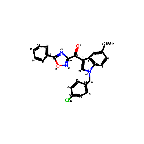 COc1ccc2c(c1)c(C(=O)c1noc(-c3ccccc3)n1)cn2Cc1ccc(Cl)cc1